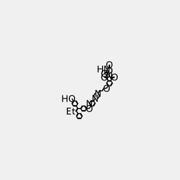 CC/C(=C(\c1ccc(O)cc1)c1ccc(Oc2ccc(N3CCN(CCCOc4ccc5c(c4)C(=O)N(C4CCC(=O)NC4=O)C5=O)CC3)cn2)cc1)c1ccccc1